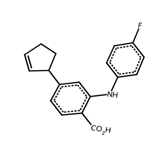 O=C(O)c1ccc(C2C=CCC2)cc1Nc1ccc(F)cc1